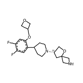 Fc1cc(OC2COC2)c(C2CCN([C@@H]3COC4(CNC4)C3)CC2)cc1F